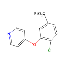 CCOC(=O)c1ccc(Cl)c(Oc2c[c]ncc2)c1